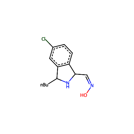 CCCCC1NC(/C=N\O)c2ccc(Cl)cc21